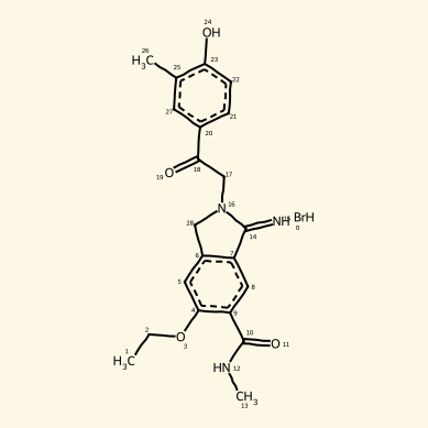 Br.CCOc1cc2c(cc1C(=O)NC)C(=N)N(CC(=O)c1ccc(O)c(C)c1)C2